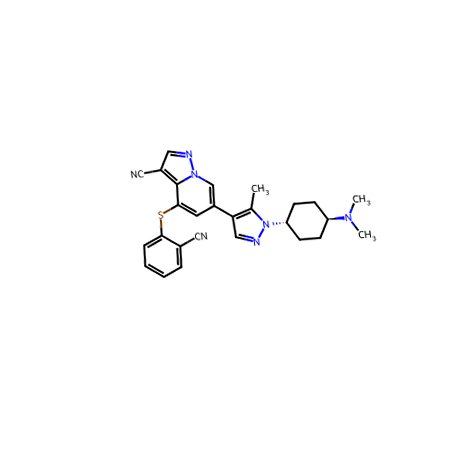 Cc1c(-c2cc(Sc3ccccc3C#N)c3c(C#N)cnn3c2)cnn1[C@H]1CC[C@H](N(C)C)CC1